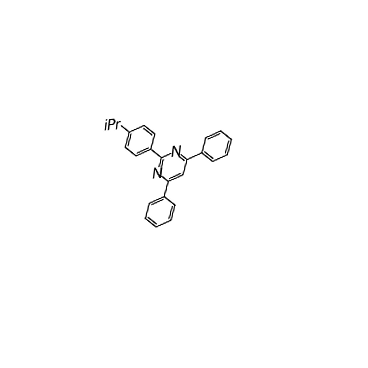 CC(C)c1ccc(-c2nc(-c3ccccc3)cc(-c3ccccc3)n2)cc1